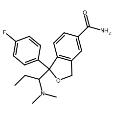 CCC(N(C)C)C1(c2ccc(F)cc2)OCc2cc(C(N)=O)ccc21